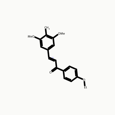 CCOc1ccc(C(=O)/C=C/c2cc(OC)c(C)c(OC)c2)cc1